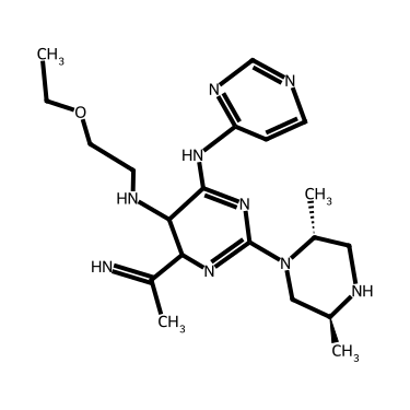 CCOCCNC1C(Nc2ccncn2)=NC(N2C[C@H](C)NC[C@H]2C)=NC1C(C)=N